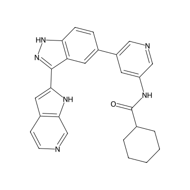 O=C(Nc1cncc(-c2ccc3[nH]nc(-c4cc5ccncc5[nH]4)c3c2)c1)C1CCCCC1